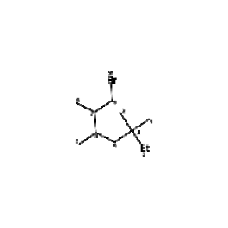 CCC(C)(C)CC(C)C(C)CBr